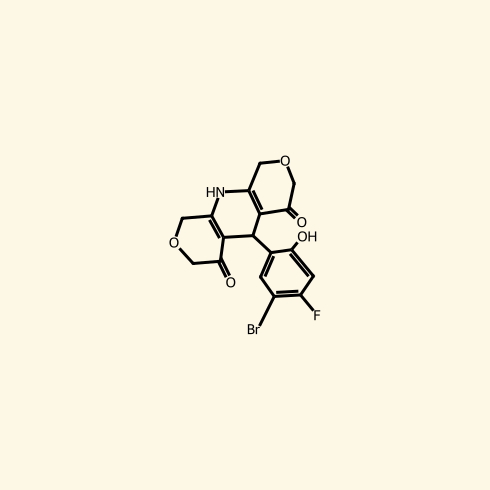 O=C1COCC2=C1C(c1cc(Br)c(F)cc1O)C1=C(COCC1=O)N2